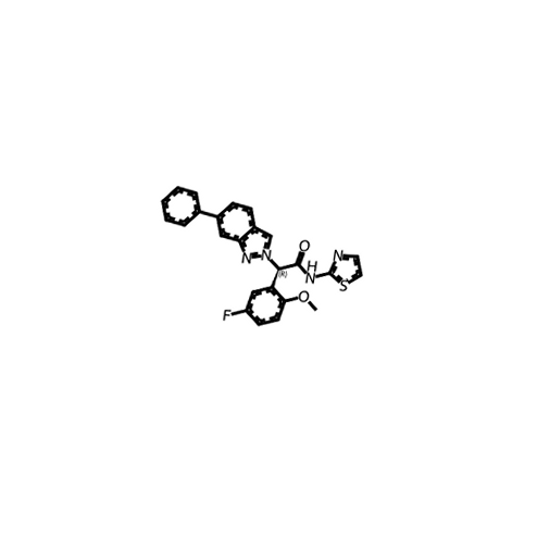 COc1ccc(F)cc1[C@H](C(=O)Nc1nccs1)n1cc2ccc(-c3ccccc3)cc2n1